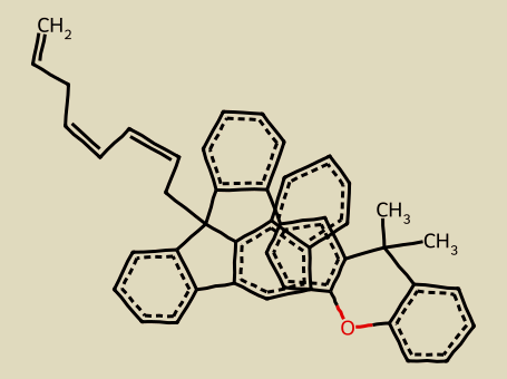 C=CC/C=C\C=C/CC1(c2ccccc2-c2ccc3c(c2)C(C)(C)c2ccccc2O3)c2ccccc2-c2ccc3ccccc3c21